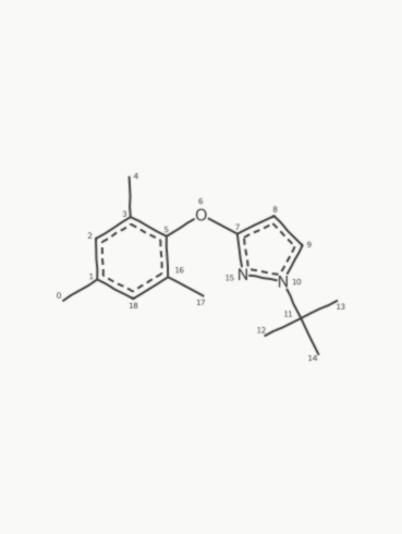 Cc1cc(C)c(Oc2ccn(C(C)(C)C)n2)c(C)c1